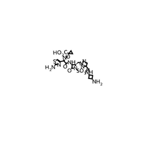 Nc1nc(C(=NOC2(C(=O)O)CC2)C(=O)N[C@@H]2C(=O)N(S(=O)(=O)O)[C@@H]2Cn2ncc(CNC3CC(N)C3)n2)cs1